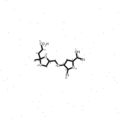 CCC(O)C1CC(OCC2COC(C)(CCC(=O)O)O2)C(CC)O1